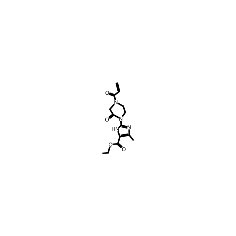 C=CC(=O)N1CCN(c2nc(C)c(C(=O)OCC)[nH]2)C(=O)C1